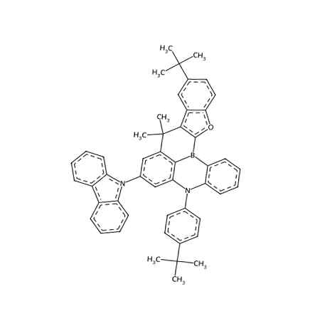 CC(C)(C)c1ccc(N2c3ccccc3B3c4oc5ccc(C(C)(C)C)cc5c4C(C)(C)c4cc(-n5c6ccccc6c6ccccc65)cc2c43)cc1